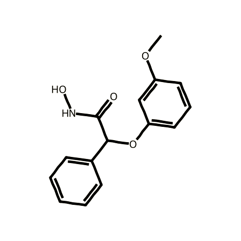 COc1cccc(OC(C(=O)NO)c2ccccc2)c1